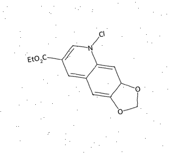 CCOC(=O)C1=CN(Cl)C2=CC3OCOC3=CC2=C1